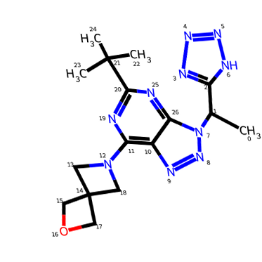 CC(c1nnn[nH]1)n1nnc2c(N3CC4(COC4)C3)nc(C(C)(C)C)nc21